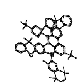 Cc1cc2c(cc1N1c3cc4c(cc3B3c5c(cc(C(C)(C)C)cc51)-c1cc5c(cc1N3c1ccc(C(C)(C)C)cc1-c1ccccc1)C(C)(C)c1ccccc1-5)C(C)(C)c1ccccc1O4)C(C)(C)CCC2(C)C